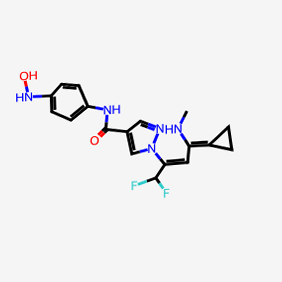 CNC(/C=C(/C(F)F)n1cc(C(=O)Nc2ccc(NO)cc2)cn1)=C1CC1